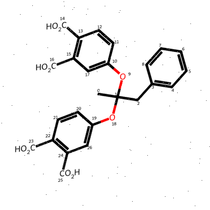 CC(Cc1ccccc1)(Oc1ccc(C(=O)O)c(C(=O)O)c1)Oc1ccc(C(=O)O)c(C(=O)O)c1